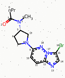 CCCC(=O)N(C)[C@H]1CCN(c2ccc3ncc(Br)n3n2)C1